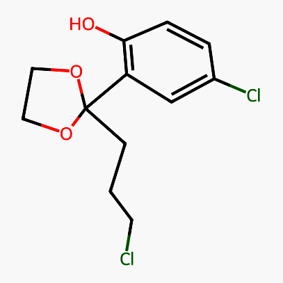 Oc1ccc(Cl)cc1C1(CCCCl)OCCO1